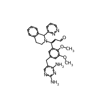 COc1cc(Cc2cnc(N)nc2N)cc(C(=CC=O)N2CCc3ccccc3C2c2cccnn2)c1OC